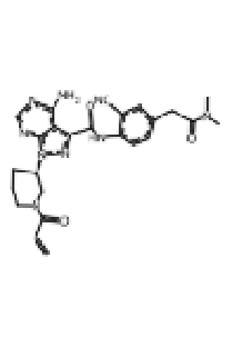 C=CC(=O)N1CCC[C@@H](n2nc(C(=O)Nc3ccc(CC(=O)N(C)C)cc3C#N)c3c(N)ncnc32)C1